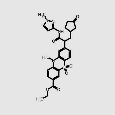 CCOC(=O)c1ccc2c(c1)S(=O)(=O)c1ccc(C(CC3CCC(=O)C3)C(=O)Nc3ccn(C)n3)cc1N2C